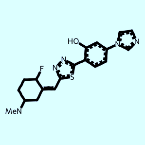 CNC1CCC(F)/C(=C\c2nnc(-c3ccc(-n4ccnc4)cc3O)s2)C1